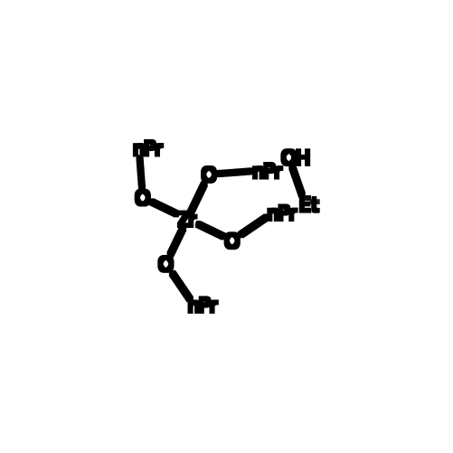 CCC[O][Zr]([O]CCC)([O]CCC)[O]CCC.CCO